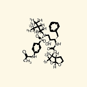 [2H]C([2H])([2H])C([2H])(C([2H])([2H])[2H])C([2H])([2H])N(C[C@@H](O)[C@H](Cc1ccccc1)NC(=O)O[C@]1([2H])[C@@H]2CCO[C@@H]2OC1([2H])[2H])S(=O)(=O)c1ccc(NC(C)=O)cc1